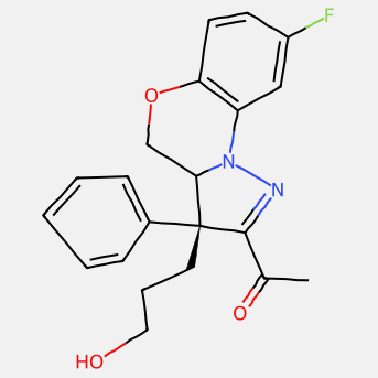 CC(=O)C1=NN2c3cc(F)ccc3OCC2[C@@]1(CCCO)c1ccccc1